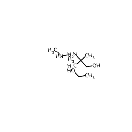 CC(C)(N)CO.CCO.CNC